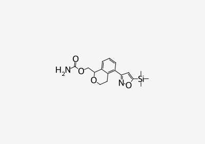 C[Si](C)(C)c1cc(-c2cccc3c2CCOC3COC(N)=O)no1